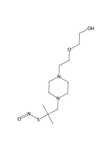 CC(C)(CN1CCN(CCOCCO)CC1)SN=O